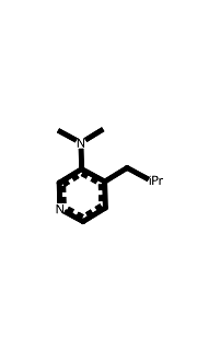 CC(C)Cc1ccncc1N(C)C